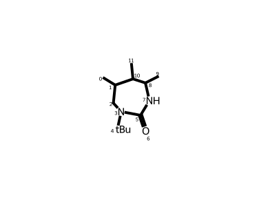 CC1CN(C(C)(C)C)C(=O)NC(C)C1C